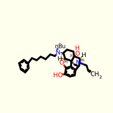 C=CCN1CC[C@]23c4c5ccc(O)c4O[C@H]2[C@H](N(CCCC)CCCCCCc2ccccc2)CC[C@@]3(O)[C@H]1C5